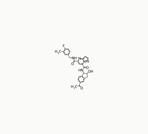 CC(=O)c1ccc2c(c1)C[C@H](O)[C@@H]2NC(=O)c1cc(C(=O)NCc2ccc(F)c(C)c2)nc2ccnn12